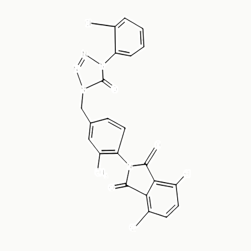 Cc1cc(Cn2nnn(-c3ccccc3Cl)c2=O)ccc1N1C(=O)c2c(Cl)ccc(Cl)c2C1=O